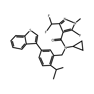 CC(C)c1ccc(-c2csc3ccccc23)cc1CN(C(=O)c1c(C(F)F)nn(C)c1F)C1CC1